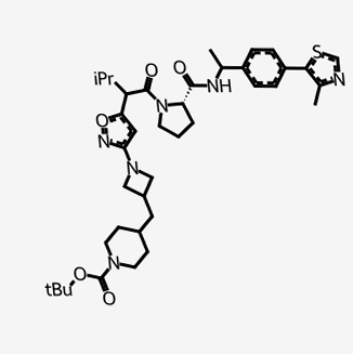 Cc1ncsc1-c1ccc(C(C)NC(=O)[C@@H]2CCCN2C(=O)C(c2cc(N3CC(CC4CCN(C(=O)OC(C)(C)C)CC4)C3)no2)C(C)C)cc1